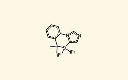 CC(C)[Si]1(C(C)C)c2cncn2-c2ccccc2C1(C)C